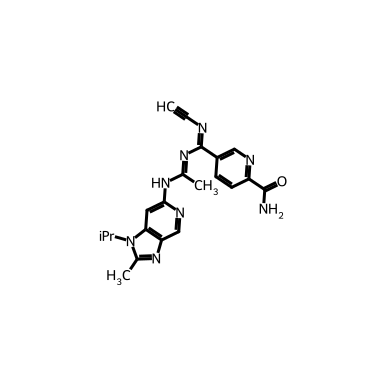 C#C/N=C(\N=C(/C)Nc1cc2c(cn1)nc(C)n2C(C)C)c1ccc(C(N)=O)nc1